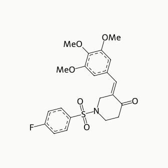 COc1cc(C=C2CN(S(=O)(=O)c3ccc(F)cc3)CCC2=O)cc(OC)c1OC